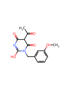 COc1cccc(CN2C(=O)C(C(C)=O)C(=O)N=C2O)c1